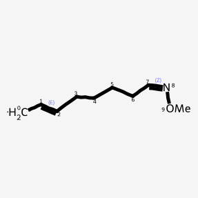 [CH2]/C=C/CCCC/C=N\OC